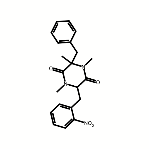 CN1C(=O)C(C)(Cc2ccccc2)N(C)C(=O)C1Cc1ccccc1[N+](=O)[O-]